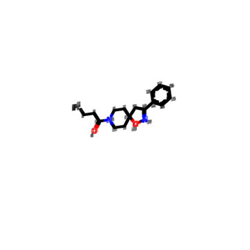 CC(C)CCC(=O)N1CCC2(CC1)CC(c1ccccc1)=NO2